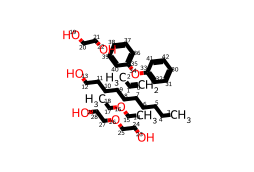 C=CC.CCCCCCCCCCO.CCOCC.OCCO.OCCOCCO.c1ccc(Oc2ccccc2)cc1